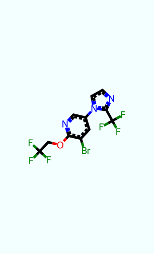 FC(F)(F)COc1ncc(-n2ccnc2C(F)(F)F)cc1Br